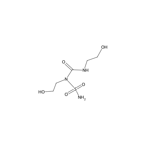 NS(=O)(=O)N(CCO)C(=O)NCCO